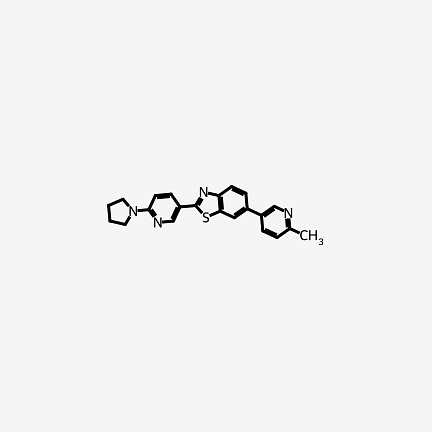 Cc1ccc(-c2ccc3nc(-c4ccc(N5CCCC5)nc4)sc3c2)cn1